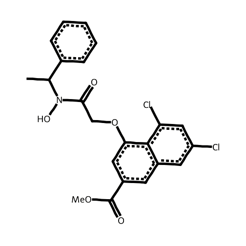 COC(=O)c1cc(OCC(=O)N(O)C(C)c2ccccc2)c2c(Cl)cc(Cl)cc2c1